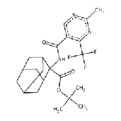 Cc1ncc(C(=O)NC2(C(=O)OC(C)(C)C)C3CC4CC(C3)CC2C4)c(C(F)(F)F)n1